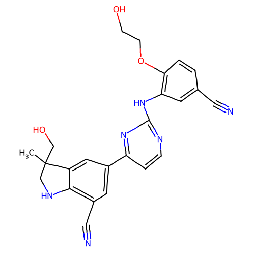 CC1(CO)CNc2c(C#N)cc(-c3ccnc(Nc4cc(C#N)ccc4OCCO)n3)cc21